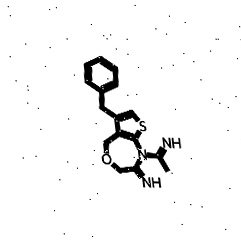 CC(=N)N1C(=N)COCc2c(Cc3ccccc3)csc21